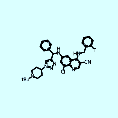 CC(C)(C)N1CCC(n2cc(C(Nc3cc(Cl)c4ncc(C#N)c(NCc5ccccc5F)c4c3)c3ccccc3)nn2)CC1